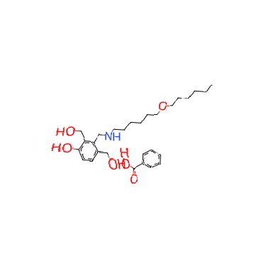 CCCCCCOCCCCCCNCc1c(CO)ccc(O)c1CO.O=C(O)c1ccccc1